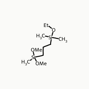 CCO[Si](C)(C)CCC[Si](C)(OC)OC